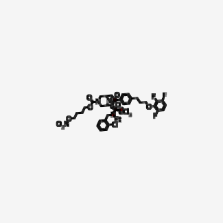 CCN(Cc1ccccc1Cl)C(=O)C1=C(c2ccc(CCCOc3c(F)ccc(F)c3F)cc2)CC2CN(C(=O)OCCCCO[N+](=O)[O-])CC1N2C(=O)OC(C)(C)C(Cl)(Cl)Cl